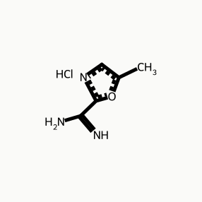 Cc1cnc(C(=N)N)o1.Cl